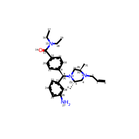 C=CCN1C[C@H](C)N([C@H](c2ccc(C(=O)N(CC)CC)cc2)c2cccc(N)c2)C[C@H]1C